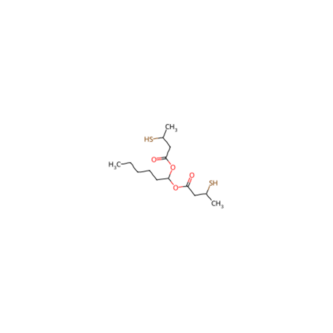 CCCCCC(OC(=O)CC(C)S)OC(=O)CC(C)S